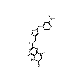 Cc1nc(NCc2cnn(Cc3ccnc(N(C)C)c3)c2)nc2c1NC(=O)CN2C